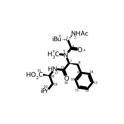 CC[C@@H](C)[C@H](NC(C)=O)C(=O)N(C)[C@@H](Cc1ccccc1)C(=O)N[C@@H](CC(C)C)C(=O)O